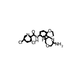 NC1=N[C@@]2(CCOc3ccc(NC(=O)c4ncc(Cl)cc4Cl)cc32)C(F)(F)COC1